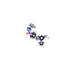 CC(=O)N(C)c1cnn(C(=O)N2C[C@H]3C[C@H](N(C)Cc4cc(N5CCCC5)cc(C(F)(F)F)c4)C[C@H]3C2)c1